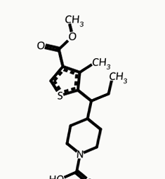 CCC(c1scc(C(=O)OC)c1C)C1CCN(C(=O)O)CC1